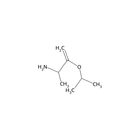 C=C(OC(C)C)C(C)N